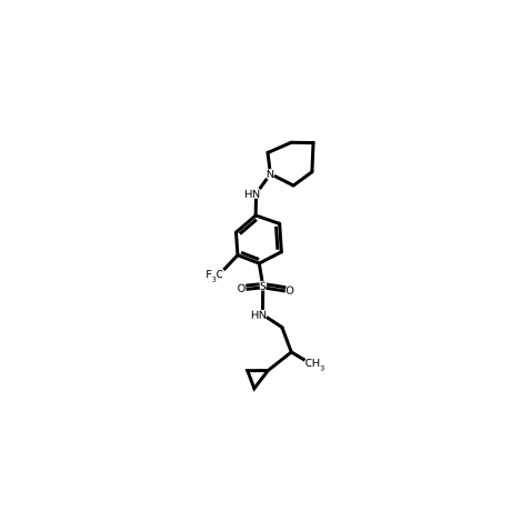 CC(CNS(=O)(=O)c1ccc(NN2CCCCC2)cc1C(F)(F)F)C1CC1